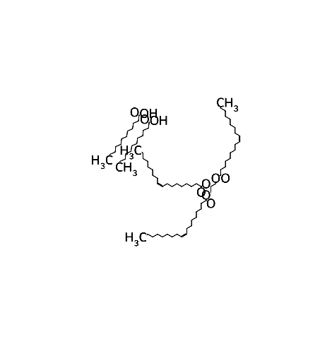 CCCCCCCC/C=C\CCCCCCCC(=O)OCC(COC(=O)CCCCCCC/C=C\CCCCCCCC)OC(=O)CCCCCCC/C=C\CCCCCCCC.CCCCCCCCCCCC(=O)O.CCCCCCCCCCCC(=O)O